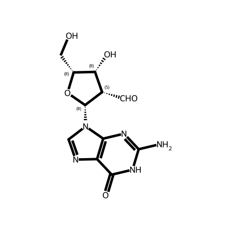 Nc1nc2c(ncn2[C@@H]2O[C@H](CO)[C@H](O)[C@@H]2C=O)c(=O)[nH]1